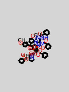 COc1ccc(C(OC[C@H]2O[C@@H](n3c(=O)n(C(=O)c4ccccc4)c4c(NC(=O)c5ccccc5)ncnc43)[C@@H](OC(=O)c3ccccc3)[C@@H]2O[P@]2O[C@H](CS(=O)(=O)c3ccccc3)[C@@H]3CCCN32)(c2ccccc2)c2ccc(OC)cc2)cc1